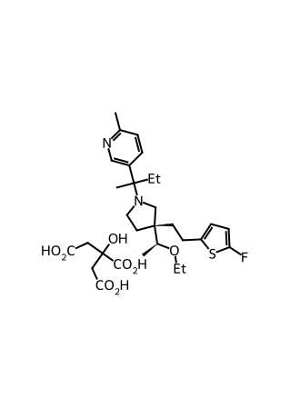 CCO[C@@H](C)[C@]1(CCc2ccc(F)s2)CCN(C(C)(CC)c2ccc(C)nc2)C1.O=C(O)CC(O)(CC(=O)O)C(=O)O